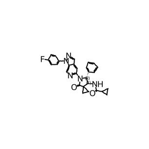 O=C(N[C@@H]1[C@@H](c2ccccc2)N(c2cc3cnn(-c4ccc(F)cc4)c3cn2)C(=O)C12CC2)C1CC1